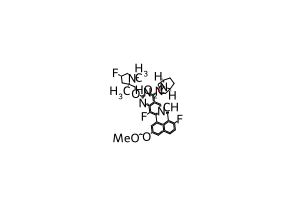 C#Cc1c(F)ccc2cc(OCOC)cc(-c3ncc4c(N5C[C@H]6CC[C@@H](C5)N6C(=O)O)nc(OC[C@@]5(C)C[C@@H](F)CN5C)nc4c3F)c12